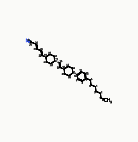 CCCCCCCc1ccc([C@H]2CC[C@H](/C=C/[C@H]3CC[C@H](C=CC=CC#N)CC3)CC2)cc1